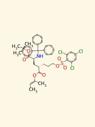 C/C=C(\C)OC(=O)[C@@H](CCCOS(=O)(=O)c1c(Cl)cc(Cl)cc1Cl)C[C@H](NC(c1ccccc1)(c1ccccc1)c1ccccc1)C(=O)OC(C)(C)C